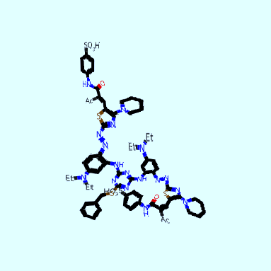 CCN(CC)c1ccc(/N=N/c2nc(N3CCCCC3)c(/C=C(/C(C)=O)C(=O)Nc3ccc(S(=O)(=O)O)cc3)s2)c(Nc2nc(Nc3cc(N(CC)CC)ccc3/N=N/c3nc(N4CCCCC4)c(/C=C(\C(C)=O)C(=O)Nc4ccc(S(=O)(=O)O)cc4)s3)nc(SCc3ccccc3)n2)c1